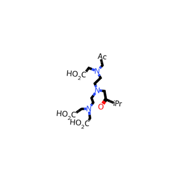 CC(=O)CN(CCN(CCN(CC(=O)O)CC(=O)O)CC(=O)C(C)C)CC(=O)O